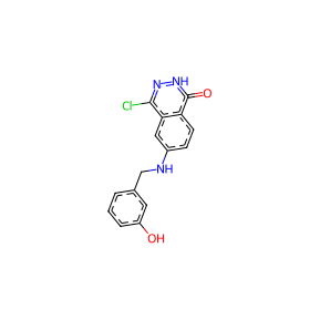 O=c1[nH]nc(Cl)c2cc(NCc3cccc(O)c3)ccc12